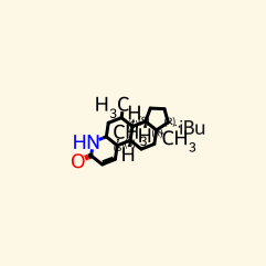 CCC(C)[C@H]1CC[C@H]2[C@@H]3C(C)CC4NC(=O)C=C[C@]4(C)[C@H]3CC[C@]12C